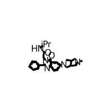 CC(C)NC(=O)Cn1c(-c2ccccc2)nc2ccc(N3CC4CN(C)CC4C3)cc2c1=O